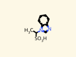 CC(n1cnc2ccccc21)S(=O)(=O)O